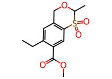 CCc1cc2c(cc1C(=O)OC)S(=O)(=O)C(C)OC2